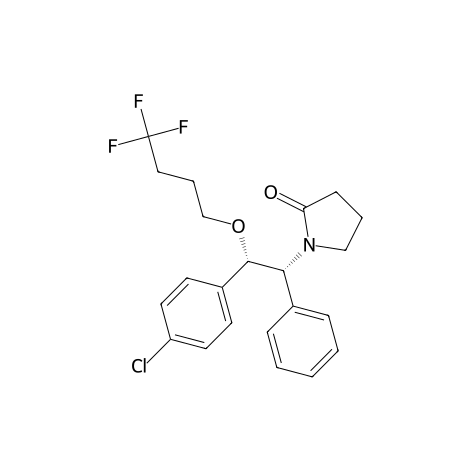 O=C1CCCN1[C@H](c1ccccc1)[C@@H](OCCCC(F)(F)F)c1ccc(Cl)cc1